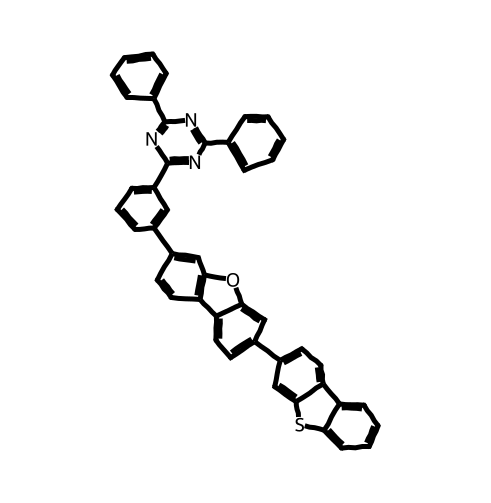 c1ccc(-c2nc(-c3ccccc3)nc(-c3cccc(-c4ccc5c(c4)oc4cc(-c6ccc7c(c6)sc6ccccc67)ccc45)c3)n2)cc1